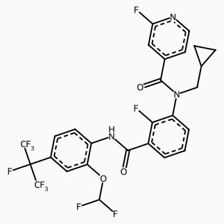 O=C(Nc1ccc(C(F)(C(F)(F)F)C(F)(F)F)cc1OC(F)F)c1cccc(N(CC2CC2)C(=O)c2ccnc(F)c2)c1F